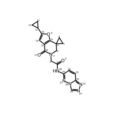 O=C(CN1CC2(CC2)c2oc(C3CC3)cc2C1=O)Nc1ccc2nncn2n1